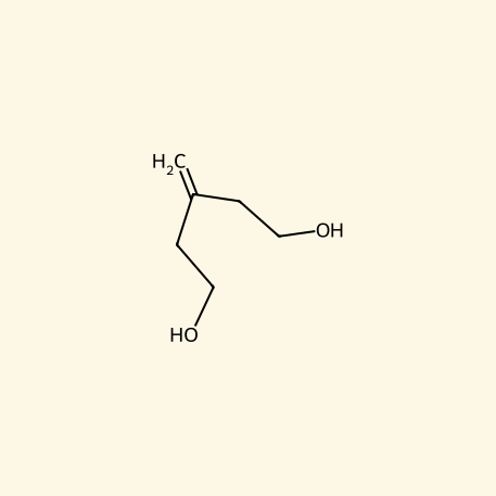 C=C(CCO)CCO